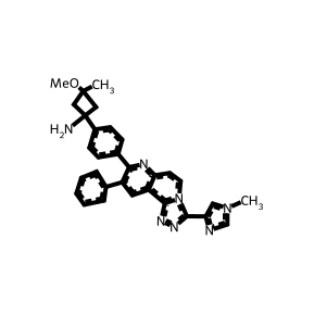 COC1(C)CC(N)(c2ccc(-c3nc4ccn5c(-c6cn(C)cn6)nnc5c4cc3-c3ccccc3)cc2)C1